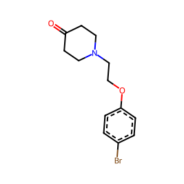 O=C1CCN(CCOc2ccc(Br)cc2)CC1